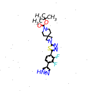 CC(C)(C)OC(=O)N1CCC2(CC1)CN(c1nnc(-c3ccc(-c4cn[nH]c4)c(F)c3F)s1)C2